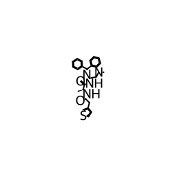 C[C@H](NC(=O)Cc1ccsc1)C(=O)N[C@@H]1CN(C)c2ccccc2C(c2ccccc2)=N1